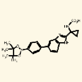 CC1(C)OB(c2ccc(-c3ccc4[nH]c(C5(NC(=O)O)CC5)nc4c3)cc2)OC1(C)C